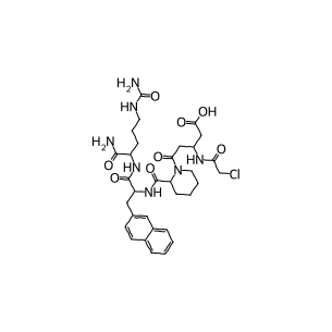 NC(=O)NCCCC(NC(=O)C(Cc1ccc2ccccc2c1)NC(=O)C1CCCCN1C(=O)CC(CC(=O)O)NC(=O)CCl)C(N)=O